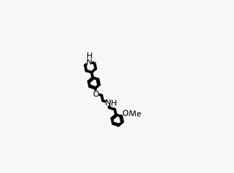 COc1ccccc1CCNCCOc1ccc(C2CCNCC2)cc1